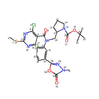 CSc1nc(Cl)c(C(=O)N(CC2CCCN2C(=O)OC(C)(C)C)c2cccc(-c3nn(C)c(=O)o3)c2)c(Cl)n1